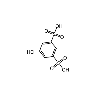 Cl.O=S(=O)(O)c1cccc(S(=O)(=O)O)c1